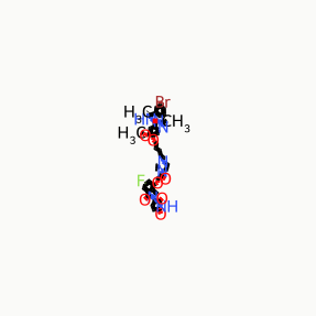 COc1cc2c(N[C@H](C)c3cccc(Br)c3)nc(C)nc2cc1OCCCCCN1CCN(C(=O)COc2cc(F)cc3c2CN(C2CCC(=O)NC2=O)C3=O)CC1